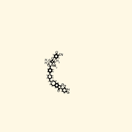 CC1(C)[C@H](NC(=O)c2ccc(N3CCC(CN4CCc5cc6c(cc5CC4)C(=O)N(C4CCC(=O)NC4=O)C6=O)CC3)cc2)C(C)(C)[C@H]1Oc1ccc(C#N)c(Cl)c1